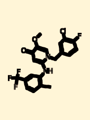 COc1cn(Cc2ccc(F)c(Cl)c2)c(Nc2cc(C(F)(F)F)ccc2C)cc1=O